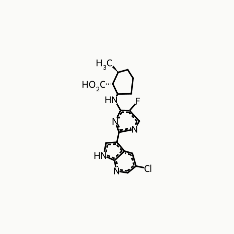 C[C@H]1CCCC(Nc2nc(-c3c[nH]c4ncc(Cl)cc34)ncc2F)[C@@H]1C(=O)O